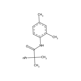 CCCC(C)(C)C(=O)Nc1ccc(C)cc1C